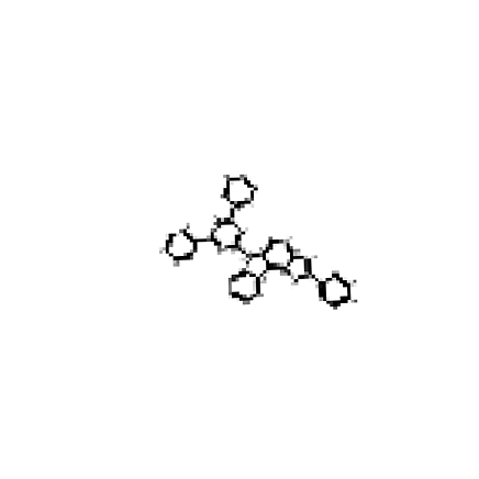 c1ccc(-c2nc(-c3ccccc3)nc(-n3c4ccccc4c4c5sc(-c6ccccc6)cc5ccc43)n2)cc1